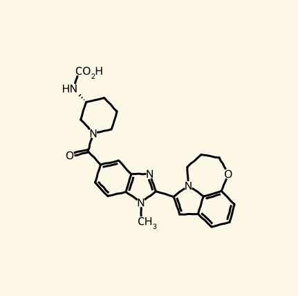 Cn1c(-c2cc3cccc4c3n2CCCO4)nc2cc(C(=O)N3CCC[C@@H](NC(=O)O)C3)ccc21